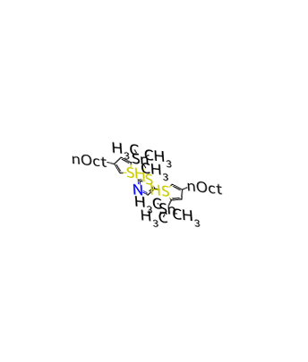 CCCCCCCCC1=C[SH](c2cnc([SH]3C=C(CCCCCCCC)C=[C]3[Sn]([CH3])([CH3])[CH3])s2)[C]([Sn]([CH3])([CH3])[CH3])=C1